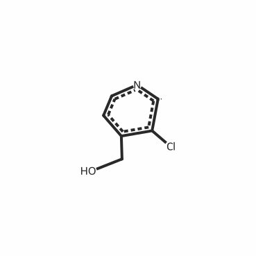 OCc1ccn[c]c1Cl